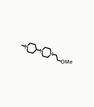 COCCN1CCN(C2CCN(C)CC2)CC1